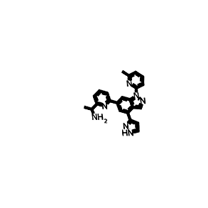 Cc1cccc(-n2ncc3c(-c4cc[nH]n4)cc(-c4cccc(C(C)N)n4)cc32)n1